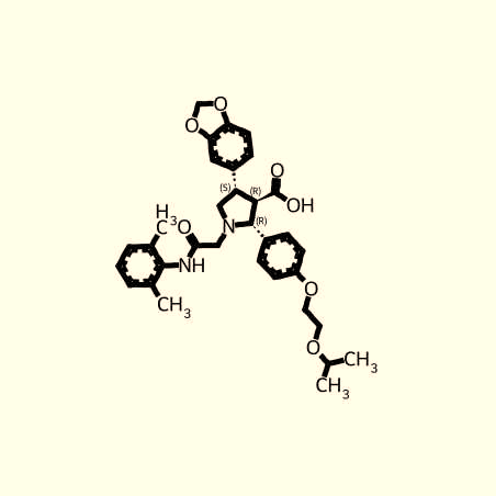 Cc1cccc(C)c1NC(=O)CN1C[C@H](c2ccc3c(c2)OCO3)[C@@H](C(=O)O)[C@@H]1c1ccc(OCCOC(C)C)cc1